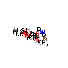 CCOC(=O)Cc1cc(CC2(C)OB(B3OC(C)(C)C(C)(C)O3)OC2(C)C)ccc1OCc1c2cc(Br)ccc2nn1C1CCCCC1